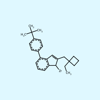 CCC1(CC2=Cc3c(-c4ccc(C(C)(C)C)cc4)cccc3[CH]2[Zr])CCC1